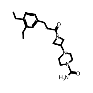 CCc1ccc(C[CH]C(=O)N2CC(N3CCN(C(N)=O)CC3)C2)cc1CC